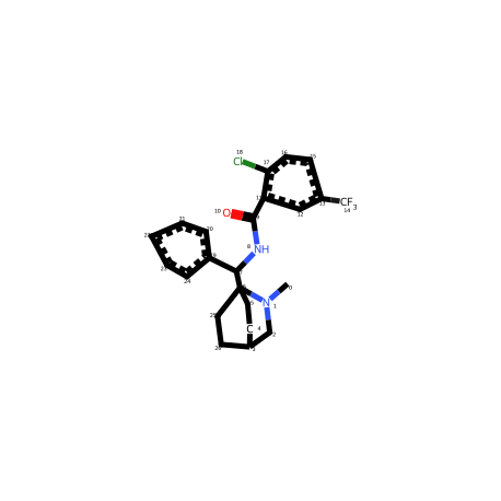 CN1CC2CCC1(C(NC(=O)c1cc(C(F)(F)F)ccc1Cl)c1ccccc1)CC2